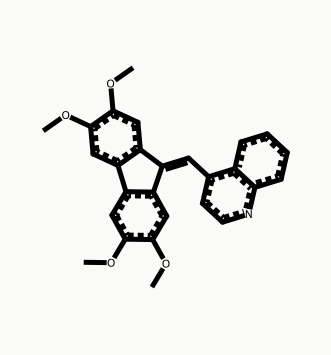 COc1cc2c(cc1OC)-c1cc(OC)c(OC)cc1C2=Cc1ccnc2ccccc12